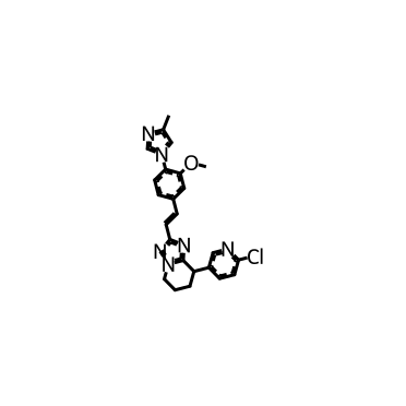 COc1cc(C=Cc2nc3n(n2)CCCC3c2ccc(Cl)nc2)ccc1-n1cnc(C)c1